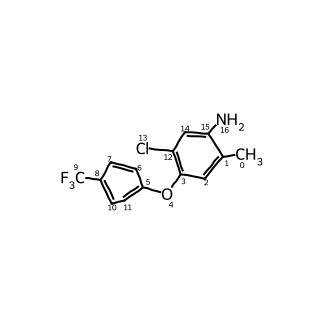 Cc1cc(Oc2ccc(C(F)(F)F)cc2)c(Cl)cc1N